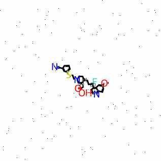 COc1ccc2nccc([C@H](F)CC[C@@H]3CCN(CCSc4cccc(C#N)c4)C[C@@H]3CC(=O)O)c2c1